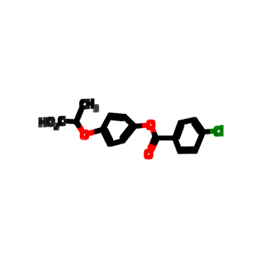 CC(Oc1ccc(OC(=O)c2ccc(Cl)cc2)cc1)C(=O)O